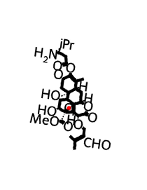 COC(=O)[C@@]12OC[C@]34C([C@@H](O)[C@@H]1O)[C@@]1(C)CC(=O)C(OC(=O)C[C@@H](N)C(C)C)=C(C)[C@@H]1C[C@H]3OC(=O)[C@H](OCC(C=O)=C(C)C)[C@@H]24